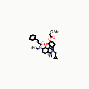 COCC(=O)Oc1ccc2c3c1OC1C(N(CC(C)C)C(=O)/C=C/c4ccccc4)CC[C@H]4[C@@H](C2)N(CC2CC2)CC[C@]314